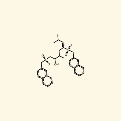 CC(C)/C=C(\CC(C)C(O)CS(=O)(=O)Cc1cnc2ccccc2c1)S(=O)(=O)Cc1cnc2ccccc2c1